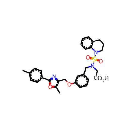 Cc1ccc(-c2nc(COc3cccc(CN(CC(=O)O)S(=O)(=O)N4CCCc5ccccc54)c3)c(C)o2)cc1